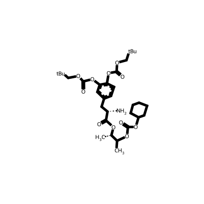 CC(OC(=O)OC1CCCCC1)[C@H](C)OC(=O)[C@@H](N)Cc1ccc(OC(=O)OCC(C)(C)C)c(OC(=O)OCC(C)(C)C)c1